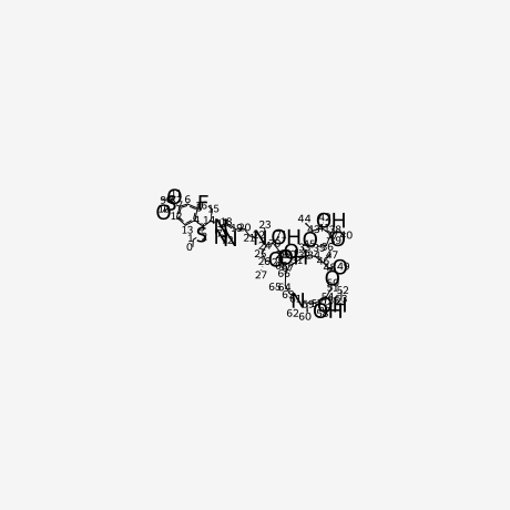 CCS[C@H](c1ccc(S(C)(=O)=O)cc1)[C@@H](CF)n1cc(CCN(C)[C@H]2C[C@@H](C)O[C@@H](O[C@@H]3[C@@H](C)[C@H](C4C[C@@](C)(OC)[C@@H](O)[C@H](C)O4)[C@@H](C)C(=O)O[C@H](CC)[C@@](C)(O)[C@H](O)[C@@H](C)N(C)C[C@H](C)C[C@@]3(C)O)[C@@H]2O)nn1